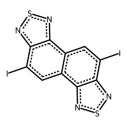 Ic1cc2c(cc(I)c3nsnc32)c2nsnc12